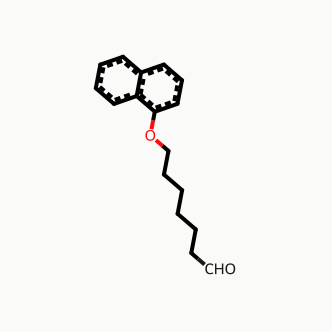 O=CCCCCCCOc1cccc2ccccc12